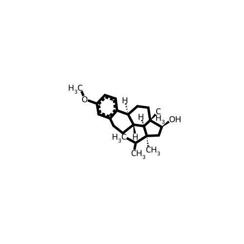 COc1ccc2c(c1)CC[C@@H]1[C@@H]2CC[C@]2(C)[C@@H](O)C[C@@](C)(C(C)C)[C@@H]12